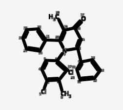 Cc1c(Cl)ccc(-n2c(-c3ccccc3)cc(=O)c(C)c2-c2ccccc2)c1Cl